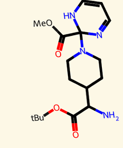 COC(=O)C1(N2CCC(C(N)C(=O)OC(C)(C)C)CC2)N=CC=CN1